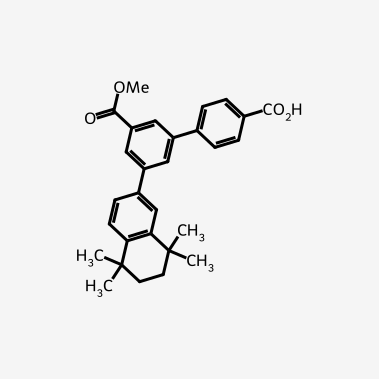 COC(=O)c1cc(-c2ccc(C(=O)O)cc2)cc(-c2ccc3c(c2)C(C)(C)CCC3(C)C)c1